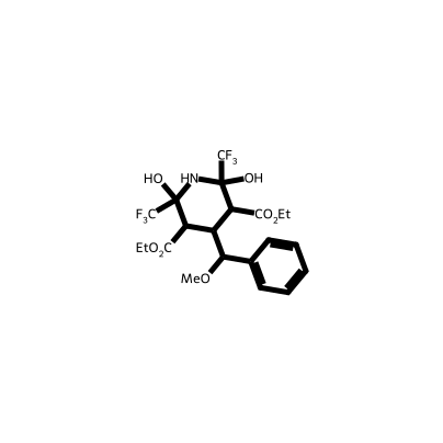 CCOC(=O)C1C(C(OC)c2ccccc2)C(C(=O)OCC)C(O)(C(F)(F)F)NC1(O)C(F)(F)F